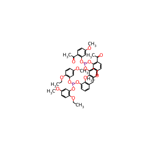 CCOc1ccc(OC)cc1OP(Oc1cc(OC)ccc1OCC)Oc1cccc2c1Oc1c(cccc1OP(Oc1cc(OC)ccc1C(C)=O)Oc1cc(OC)ccc1C(C)=O)C2